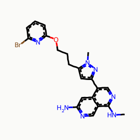 CNc1ncc(-c2cc(CCCOc3cccc(Br)n3)n(C)n2)c2cc(N)ncc12